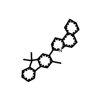 Cc1cc2c(cc1-c1ccc3c(ccc4ccccc43)n1)C(C)(C)c1ccccc1-2